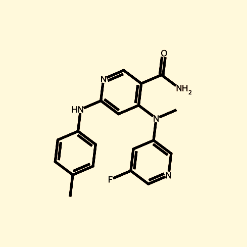 Cc1ccc(Nc2cc(N(C)c3cncc(F)c3)c(C(N)=O)cn2)cc1